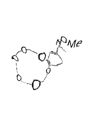 CON=C(C)c1ccc2c(c1)OCCOCCOCCOCCOCCO2